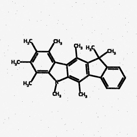 Cc1c(C)c(C)c2c(c1C)c1c(C)c3c(c(C)c1n2C)-c1ccccc1C3(C)C